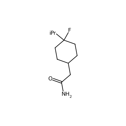 CC(C)C1(F)CCC(CC(N)=O)CC1